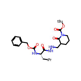 CC(C)C[C@H](NC(=O)OCc1ccccc1)C(=O)NNCC1CCCN(C(=O)OC(C)(C)C)C1=O